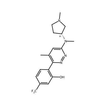 Cc1cc(N(C)[C@@H]2CCN(C)C2)nnc1-c1ccc(C(F)(F)F)cc1O